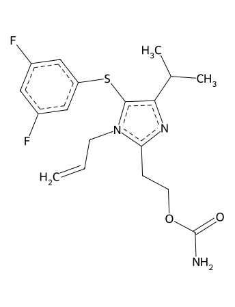 C=CCn1c(CCOC(N)=O)nc(C(C)C)c1Sc1cc(F)cc(F)c1